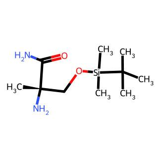 CC(C)(C)[Si](C)(C)OC[C@](C)(N)C(N)=O